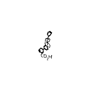 O=C(O)c1cccc(-c2cccc(CN3CC(c4ccccc4)OC3=O)c2)c1